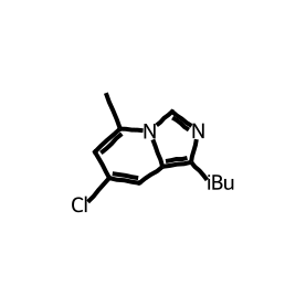 CCC(C)c1ncn2c(C)cc(Cl)cc12